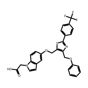 O=C(O)Cn1ccc2cc(OCc3sc(-c4ccc(C(F)(F)F)cc4)nc3COc3ccccc3)ccc21